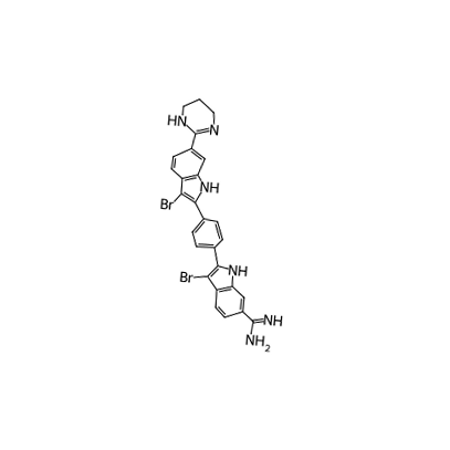 N=C(N)c1ccc2c(Br)c(-c3ccc(-c4[nH]c5cc(C6=NCCCN6)ccc5c4Br)cc3)[nH]c2c1